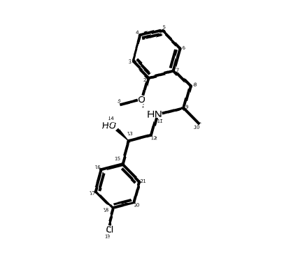 COc1ccccc1CC(C)NC[C@H](O)c1ccc(Cl)cc1